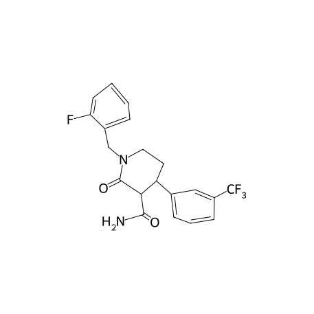 NC(=O)C1C(=O)N(Cc2ccccc2F)CCC1c1cccc(C(F)(F)F)c1